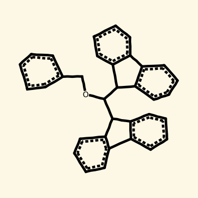 c1ccc(COC(C2c3ccccc3-c3ccccc32)C2c3ccccc3-c3ccccc32)cc1